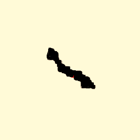 C=CC(=O)OCCCCCCOc1ccc(COc2ccc(C(=O)Oc3ccc(OC(CCCCC)OC(=O)C=C)cc3)cc2)cc1